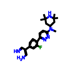 CN(c1ccc(-c2ccc(/C(C=N)=C/N)cc2F)nn1)C1CC(C)(C)NC(C)(C)C1